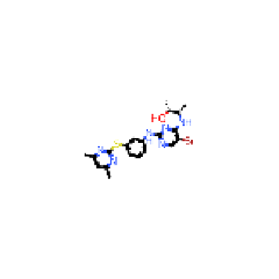 Cc1cc(C)nc(Sc2cccc(Nc3ncc(Br)c(N[C@H](C)[C@@H](C)O)n3)c2)n1